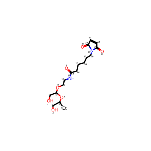 CCC(CO)OC(CO)OCCNC(=O)CCCCCN1C(=O)C=CC1=O